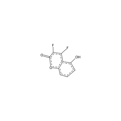 O=c1oc2cccc(O)c2c(F)c1F